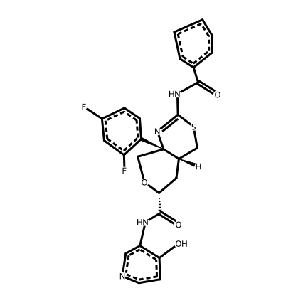 O=C(NC1=N[C@@]2(c3ccc(F)cc3F)CO[C@@H](C(=O)Nc3cnccc3O)C[C@H]2CS1)c1ccccc1